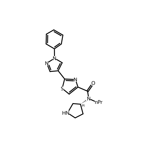 CCCN(C(=O)c1csc(-c2cnn(-c3ccccc3)c2)n1)[C@@H]1CCNC1